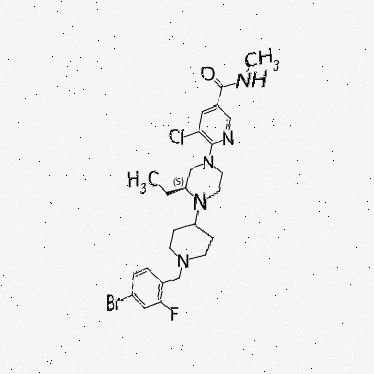 CC[C@H]1CN(c2ncc(C(=O)NC)cc2Cl)CCN1C1CCN(Cc2ccc(Br)cc2F)CC1